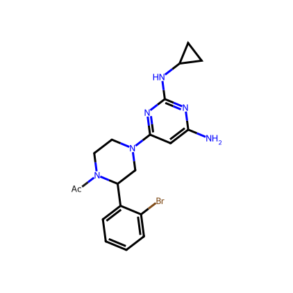 CC(=O)N1CCN(c2cc(N)nc(NC3CC3)n2)CC1c1ccccc1Br